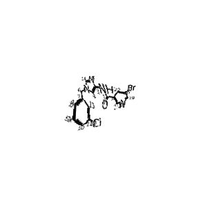 O=C(Nc1cn(Cc2cccc(Cl)c2)cn1)c1cncc(Br)c1